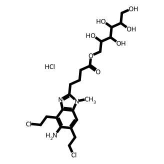 Cl.Cn1c(CCCC(=O)OCC(O)C(O)C(O)C(O)CO)nc2c(CCCl)c(N)c(CCCl)cc21